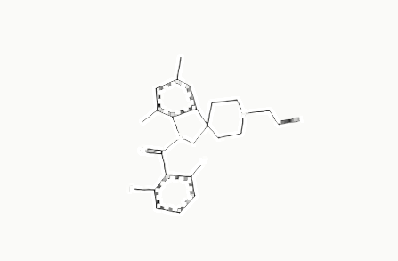 C=CCN1CCC2(CC1)CN(C(=O)c1c(F)cccc1F)c1c(C)cc(C)cc12